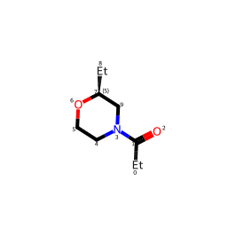 CCC(=O)N1CCO[C@@H](CC)C1